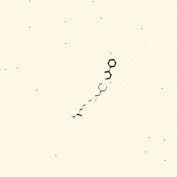 NC(=O)c1csc(COC(=O)NCCC2CCN(c3ccc(-c4ccc(F)cc4)cn3)CC2)n1